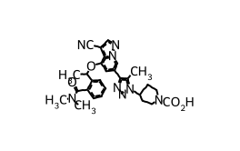 Cc1c(-c2cc(OC(C)c3ccccc3C(=O)N(C)C)c3c(C#N)cnn3c2)nnn1C1CCN(C(=O)O)CC1